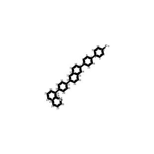 Fc1ccc(-c2ccc(-c3ccc4cc(-c5ccc(-c6cccc7cccnc67)cc5)ccc4c3)cc2)cc1